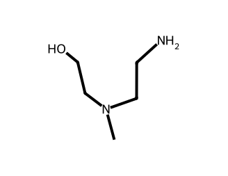 CN(CCN)CCO